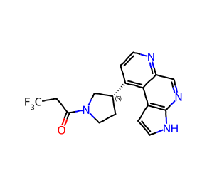 O=C(CC(F)(F)F)N1CC[C@@H](c2ccnc3cnc4[nH]ccc4c23)C1